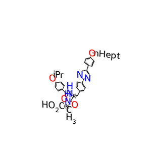 CCCCCCCOc1ccc(-c2cnc(-c3ccc(C[C@H](NC(=O)c4ccc(OC(C)C)cc4)C(=O)N[C@H](C)C(=O)O)cc3)nc2)cc1